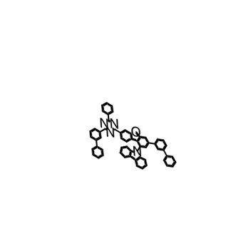 c1ccc(-c2cccc(-c3cc(-n4c5ccccc5c5ccccc54)c4c(c3)oc3cc(-c5nc(-c6ccccc6)nc(-c6cccc(-c7ccccc7)c6)n5)ccc34)c2)cc1